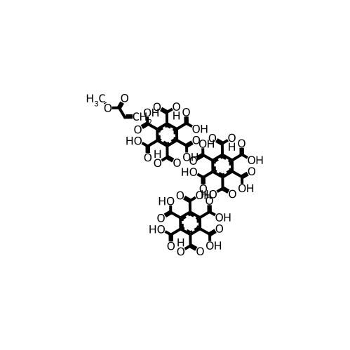 C=CC(=O)OC.O=C(O)c1c(C(=O)O)c(C(=O)O)c(C(=O)O)c(C(=O)O)c1C(=O)O.O=C(O)c1c(C(=O)O)c(C(=O)O)c(C(=O)O)c(C(=O)O)c1C(=O)O.O=C(O)c1c(C(=O)O)c(C(=O)O)c(C(=O)O)c(C(=O)O)c1C(=O)O